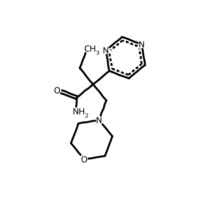 CCC(CN1CCOCC1)(C(N)=O)c1ccncn1